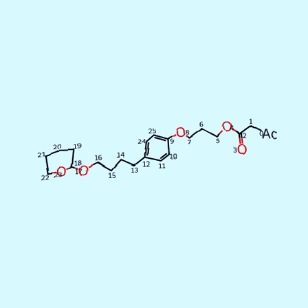 CC(=O)CC(=O)OCCCOc1ccc(CCCCOC2CCCCO2)cc1